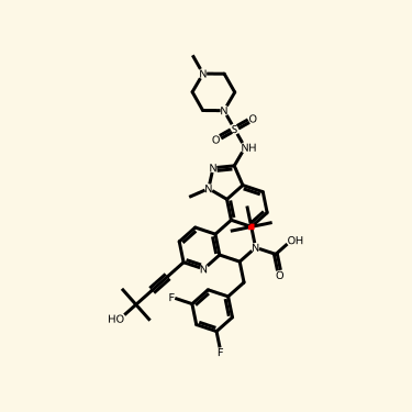 CN1CCN(S(=O)(=O)Nc2nn(C)c3c(-c4ccc(C#CC(C)(C)O)nc4C(Cc4cc(F)cc(F)c4)N(C(=O)O)C(C)(C)C)cccc23)CC1